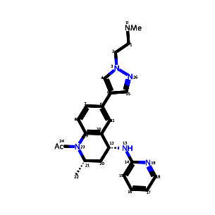 CNCCn1cc(-c2ccc3c(c2)[C@H](Nc2ccccn2)C[C@H](C)N3C(C)=O)cn1